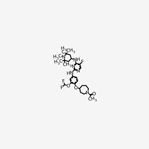 CC(=O)N1CCCC(Oc2ccc(Nc3ncc(F)c(NC4CC(C)(C)N(C)C(C)(C)C4)n3)cc2OC(F)F)CC1